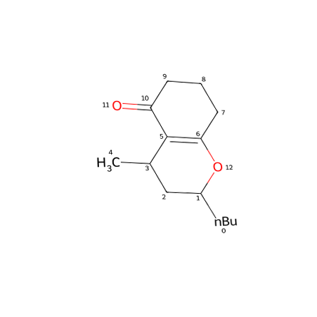 CCCCC1CC(C)C2=C(CCCC2=O)O1